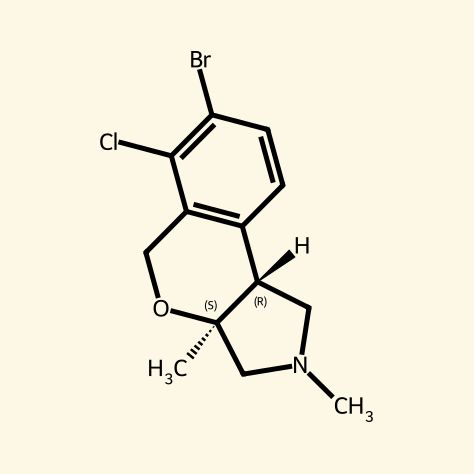 CN1C[C@H]2c3ccc(Br)c(Cl)c3CO[C@]2(C)C1